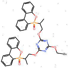 CCC(C)COc1nc(OCC(C)P2(=O)Oc3ccccc3-c3ccccc32)nc(OCC(C)P2(=O)Oc3ccccc3-c3ccccc32)n1